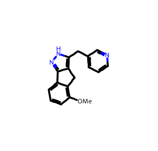 COc1cccc2c1Cc1c-2n[nH]c1Cc1cccnc1